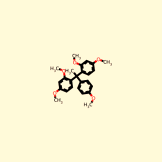 COc1ccc(C(C)(c2ccc(OC)cc2OC)c2ccc(OC)cc2OC)cc1